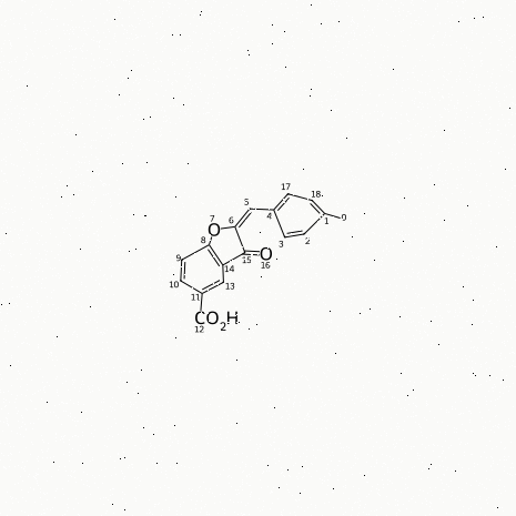 Cc1ccc(C=C2Oc3ccc(C(=O)O)cc3C2=O)cc1